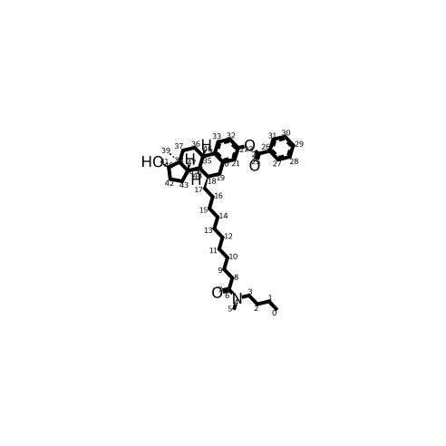 CCCCN(C)C(=O)CCCCCCCCCC[C@@H]1Cc2cc(OC(=O)c3ccccc3)ccc2[C@H]2CC[C@]3(C)[C@@H](O)CC[C@H]3[C@H]12